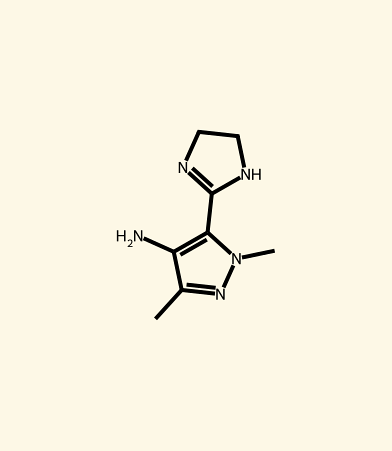 Cc1nn(C)c(C2=NCCN2)c1N